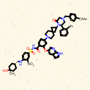 COc1ccc(CN2CC(=O)N(C3CC4(CCN(c5ccc(C(=O)NS(=O)(=O)c6ccc(NC[C@H]7CC[C@](C)(O)CC7)c([N+](=O)[O-])c6)c(Oc6cnc7[nH]ccc7c6)c5)CC4)C3)C(c3ccccc3C(C)C)C2)cc1